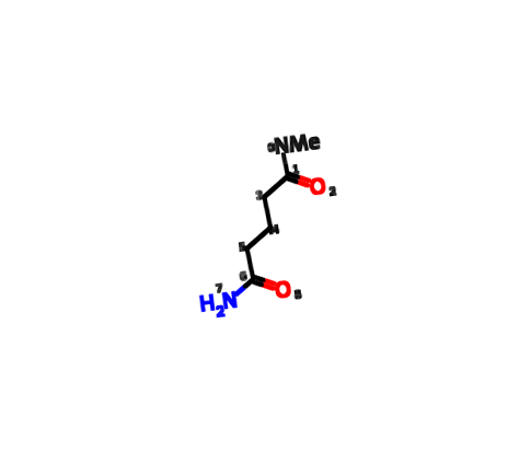 CNC(=O)C[CH]CC(N)=O